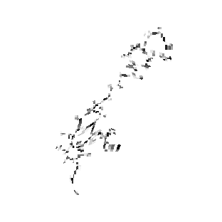 CCCc1cc(F)c(OC)c([C@H](C(=O)O)N2CC[C@@H](OCCCCCc3ccc4c(n3)NCCC4)C2)c1